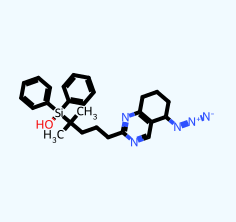 CC(C)(CCCc1ncc2c(n1)CCCC2N=[N+]=[N-])[Si](O)(c1ccccc1)c1ccccc1